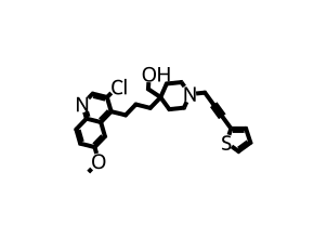 COc1ccc2ncc(Cl)c(CCCC3(CO)CCN(CC#Cc4cccs4)CC3)c2c1